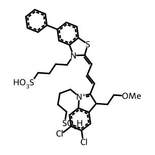 COCCC1C(C=CC=C2Sc3ccc(-c4ccccc4)cc3N2CCCCS(=O)(=O)O)=[N+](CCCCS(=O)(=O)O)c2cc(Cl)c(Cl)cc21